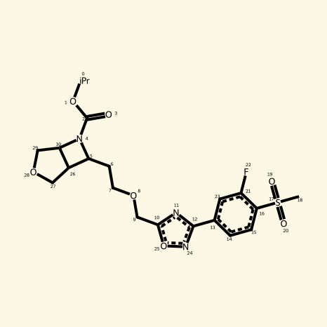 CC(C)OC(=O)N1C(CCOCc2nc(-c3ccc(S(C)(=O)=O)c(F)c3)no2)C2COCC21